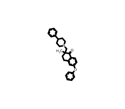 CC1(CN2CCC(c3ccccc3)CC2)CCc2cc(Oc3ccccc3)ccc2C1=O